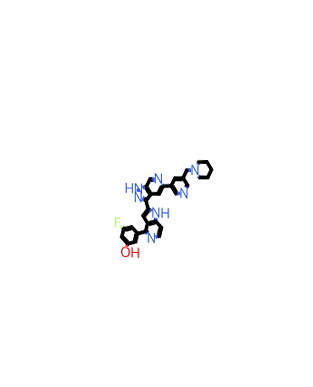 Oc1cc(F)cc(-c2nccc3[nH]c(-c4n[nH]c5cnc(-c6cncc(CN7CCCCC7)c6)cc45)cc23)c1